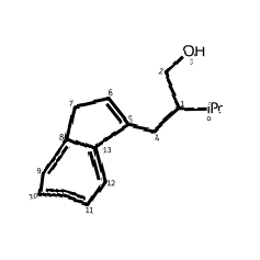 CC(C)C(CO)CC1=CCc2ccccc21